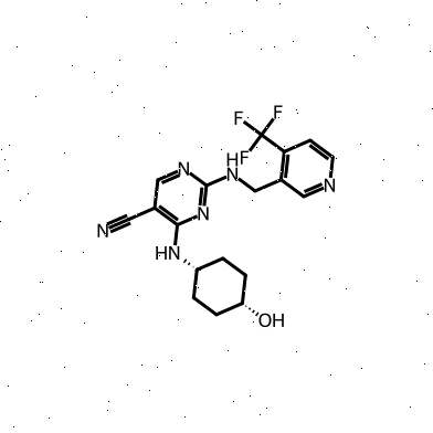 N#Cc1cnc(NCc2cnccc2C(F)(F)F)nc1N[C@H]1CC[C@@H](O)CC1